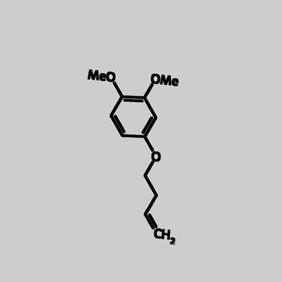 C=CCCOc1ccc(OC)c(OC)c1